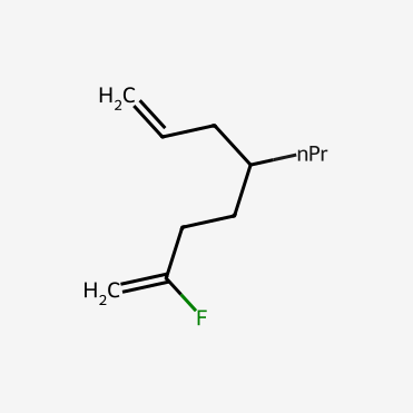 C=CCC(CCC)CCC(=C)F